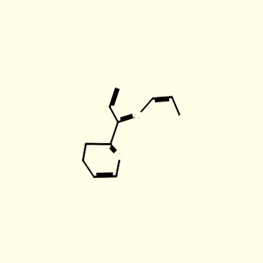 C=C/C(=N\C=C/C)C1=NC=CCC1